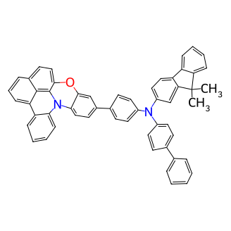 CC1(C)c2ccccc2-c2ccc(N(c3ccc(-c4ccccc4)cc3)c3ccc(-c4ccc5c(c4)oc4ccc6cccc7c8ccccc8n5-c4c67)cc3)cc21